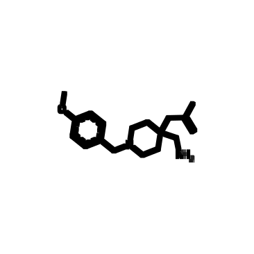 C=C(C)CC1(CN)CCN(Cc2ccc(OC)cc2)CC1